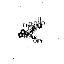 CCC(=O)O[C@H]1[C@@](C)(F)[C@H](n2ccc(=O)[nH]c2=O)O[C@]1(F)CO[P@@](=O)(NCCC(=O)OC(C)C)Oc1cccc2ccccc12